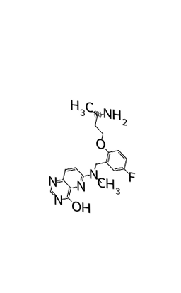 C[C@@H](N)CCOc1ccc(F)cc1CN(C)c1ccc2ncnc(O)c2n1